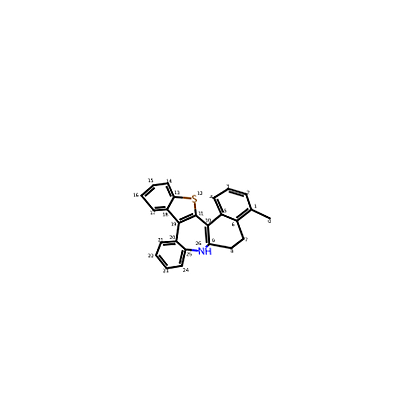 Cc1cccc2c1CCC1=C2c2sc3ccccc3c2-c2ccccc2N1